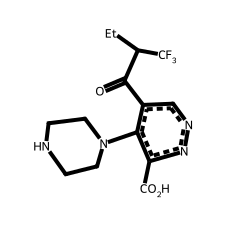 CCC(C(=O)c1cnnc(C(=O)O)c1N1CCNCC1)C(F)(F)F